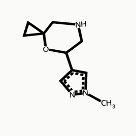 Cn1cc(C2CNCC3(CC3)O2)cn1